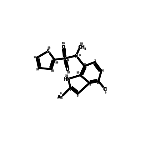 CC(=O)c1cc2c(Cl)ccc(N(C)S(=O)(=O)c3cccs3)c2[nH]1